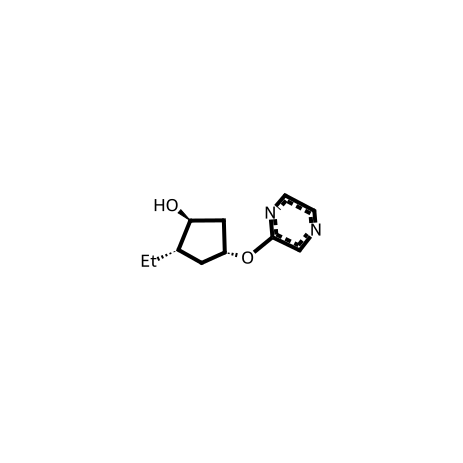 CC[C@H]1C[C@@H](Oc2cnccn2)C[C@@H]1O